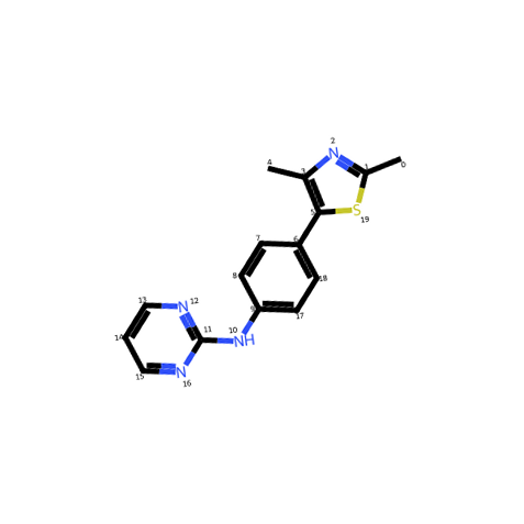 Cc1nc(C)c(-c2ccc(Nc3ncccn3)cc2)s1